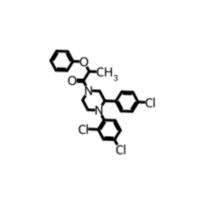 CC(Oc1ccccc1)C(=O)N1CCN(c2ccc(Cl)cc2Cl)C(c2ccc(Cl)cc2)C1